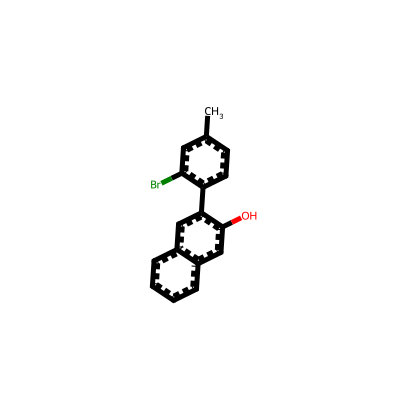 Cc1ccc(-c2cc3ccccc3cc2O)c(Br)c1